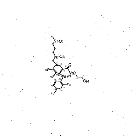 C[S+]([O-])CCCN(O)Cc1cc(C(=O)NOCCO)c(Nc2ccc(I)cc2F)c(F)c1F